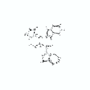 O=C(c1cnn2ccccc12)N1CCc2[nH]cnc2[C@@H]1c1cc2ccccc2o1